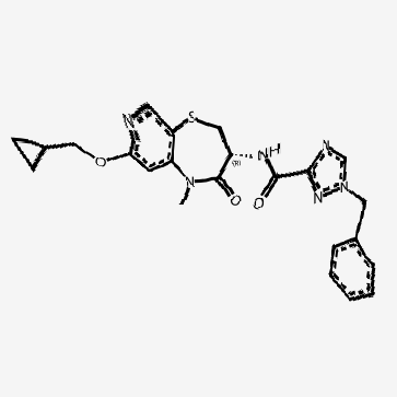 CN1C(=O)[C@@H](NC(=O)c2ncn(Cc3ccccc3)n2)CSc2cnc(OCC3CC3)cc21